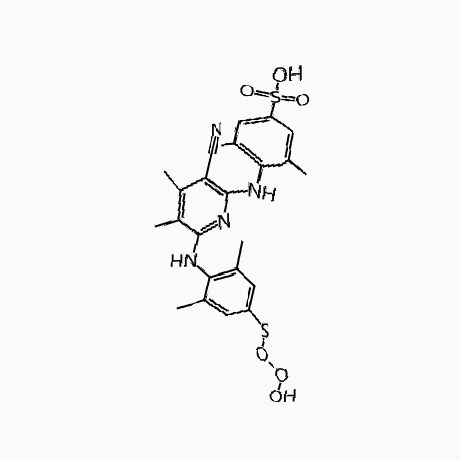 Cc1cc(SOOO)cc(C)c1Nc1nc(Nc2c(C)cc(S(=O)(=O)O)cc2C)c(C#N)c(C)c1C